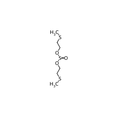 CSCCOS(=O)OCCSC